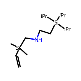 C=C[Si](C)(C)CNCC[Si](C(C)C)(C(C)C)C(C)C